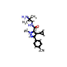 CC(C)n1nc(-c2ccc(C#N)cc2)c(C2CC2)c1C(=O)NCC(C)(C)N